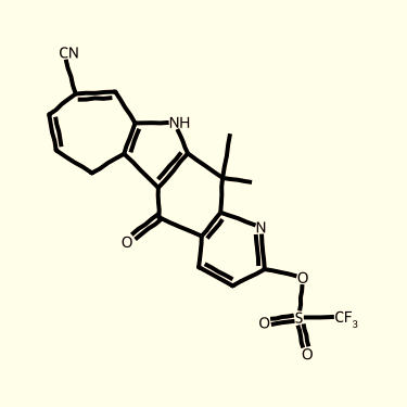 CC1(C)c2nc(OS(=O)(=O)C(F)(F)F)ccc2C(=O)c2c1[nH]c1c2CC=CC(C#N)=C1